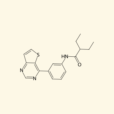 CCC(CC)C(=O)Nc1cccc(-c2ncnc3ccsc23)c1